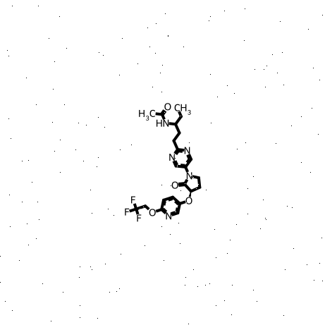 CCC(CCc1ncc(N2CC[C@@H](Oc3ccc(OCC(F)(F)F)nc3)C2=O)cn1)NC(C)=O